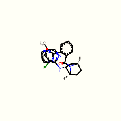 O=C(c1ccccc1-c1ncccn1)N1[C@@H]2CC[C@H]1[C@H](Nc1ncc(C(F)(F)F)cc1F)C2